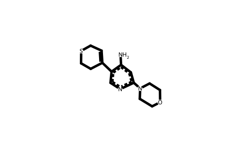 Nc1cc(N2CCOCC2)ncc1C1=CCSCC1